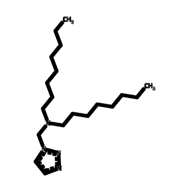 CCCCCCCCN(CCCCCCCC)Cn1ccnn1